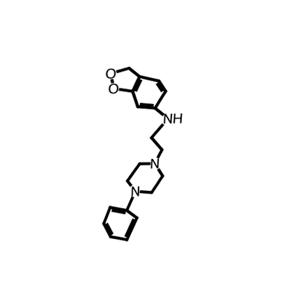 c1ccc(N2CCN(CCNc3ccc4c(c3)OOC4)CC2)cc1